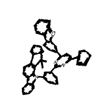 CC1(C)c2ccccc2-c2ccc3c4ccccc4n(-c4cccc(-c5nc(-c6ccccc6)cc(-c6ccc7c(c6)oc6ccccc67)n5)c4)c3c21